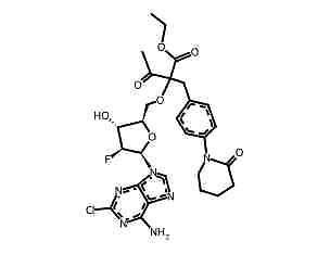 CCOC(=O)C(Cc1ccc(N2CCCCC2=O)cc1)(OC[C@H]1O[C@@H](n2cnc3c(N)nc(Cl)nc32)[C@@H](F)[C@@H]1O)C(C)=O